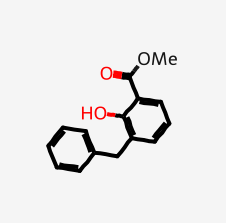 COC(=O)c1cccc(Cc2ccccc2)c1O